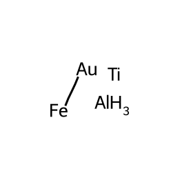 [AlH3].[Fe][Au].[Ti]